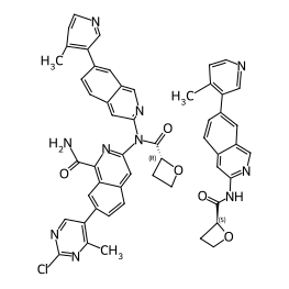 Cc1ccncc1-c1ccc2cc(N(C(=O)[C@H]3CCO3)c3cc4ccc(-c5cnc(Cl)nc5C)cc4c(C(N)=O)n3)ncc2c1.Cc1ccncc1-c1ccc2cc(NC(=O)[C@@H]3CCO3)ncc2c1